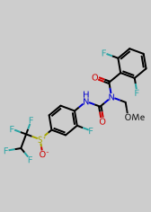 COCN(C(=O)Nc1ccc([S+]([O-])C(F)(F)C(F)F)cc1F)C(=O)c1c(F)cccc1F